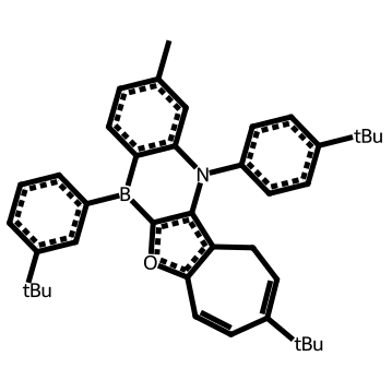 Cc1ccc2c(c1)N(c1ccc(C(C)(C)C)cc1)c1c(oc3c1CC=C(C(C)(C)C)C=C3)B2c1cccc(C(C)(C)C)c1